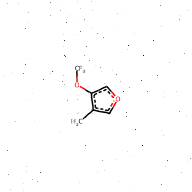 Cc1cocc1OC(F)(F)F